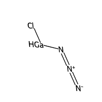 [N-]=[N+]=[N][GaH][Cl]